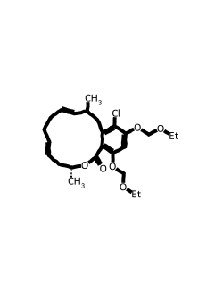 CCOCOc1cc(OCOCC)c2c(c1Cl)CC(C)/C=C/CC/C=C/C[C@@H](C)OC2=O